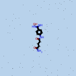 N=C(NO)c1ccc(NC(=O)CCCC(N)=O)cc1